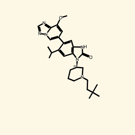 COc1cc(-c2cc3[nH]c(=O)n([C@@H]4CCCN(CCC(C)(C)C)C4)c3cc2C(C)C)cn2ncnc12